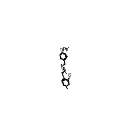 CCCc1ccc(C=NN=Cc2ccc(C)cc2F)cc1